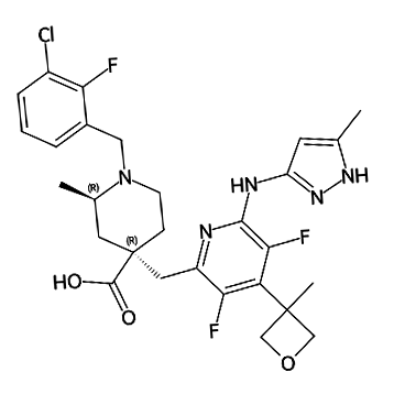 Cc1cc(Nc2nc(C[C@@]3(C(=O)O)CCN(Cc4cccc(Cl)c4F)[C@H](C)C3)c(F)c(C3(C)COC3)c2F)n[nH]1